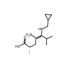 CC(C)/C(NCC1CC1)=C(/N)C[C@H](C)C(=O)O